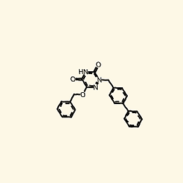 O=c1[nH]c(=O)n(Cc2ccc(-c3ccccc3)cc2)nc1OCc1ccccc1